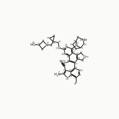 N#Cc1c(N)sc2c(F)cnc(-c3c4c(c5c(N6C7CCC6CNC7)nc(OCC6(CN7CC(O)C7)CC6)nc5c3F)COC4)c12